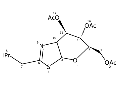 CC(=O)OC[C@H]1OC2SC(CC(C)C)=NC2[C@@H](OC(C)=O)[C@@H]1OC(C)=O